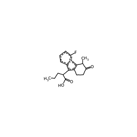 CCCC(C(=O)O)c1c2c(n3c(F)cccc13)C(C)C(=O)CC2